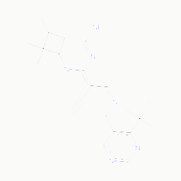 C#CC(/C=N\Cc1cncnc1C(C)(C)F)=C(/N=C/N)NC1CC(C)C1(C)C